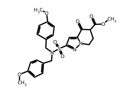 COC(=O)C1CCn2nc(S(=O)(=O)N(Cc3ccc(OC)cc3)Cc3ccc(OC)cc3)cc2C1=O